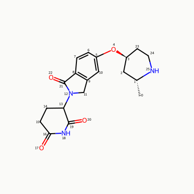 C[C@@H]1C[C@@H](Oc2ccc3c(c2)CN(C2CCC(=O)NC2=O)C3=O)CCN1